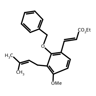 CCOC(=O)/C=C/c1ccc(OC)c(CC=C(C)C)c1OCc1ccccc1